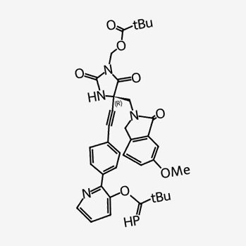 COc1ccc2c(c1)C(=O)N(C[C@@]1(C#Cc3ccc(-c4ncccc4OC(=P)C(C)(C)C)cc3)NC(=O)N(COC(=O)C(C)(C)C)C1=O)C2